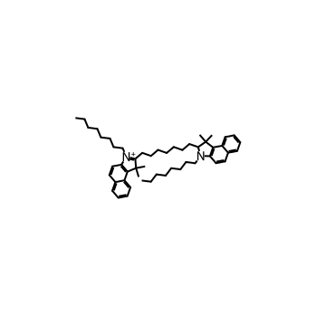 CCCCCCCCN1c2ccc3ccccc3c2C(C)(C)C1CCCCCCCC1=[N+](CCCCCCCC)c2ccc3ccccc3c2C1(C)C